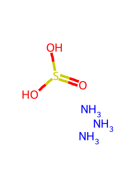 N.N.N.O=S(O)O